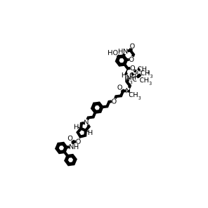 CN(CCNC[C@H](O[Si](C)(C)C(C)(C)C)c1ccc(O)c2c1OCC(=O)N2)C(=O)CCOCCc1cccc(CCN2C[C@H]3C[C@H](OC(=O)Nc4ccccc4-c4ccccc4)C[C@H]3C2)c1